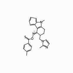 Cc1ccc(C(=S)O/N=C2/c3c(n(C)c4ccccc34)CCC2Cn2ccnc2C)cc1